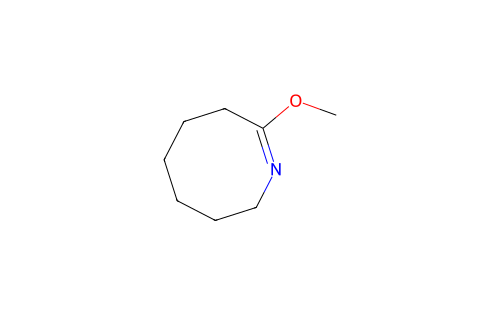 COC1=NCCCCCC1